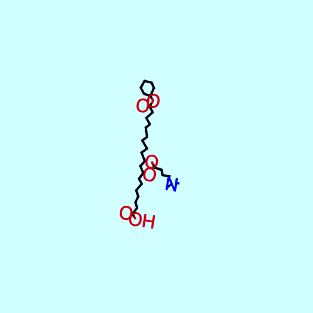 CN(C)CCCC(=O)OC(CCCCCCCCC(=O)O)CCCCCCCCC(=O)OC1CCCCC1